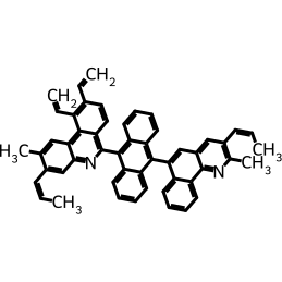 C=Cc1ccc2c(-c3c4ccccc4c(-c4cc5cc(/C=C\C)c(C)nc5c5ccccc45)c4ccccc34)nc3cc(/C=C\C)c(C)cc3c2c1C=C